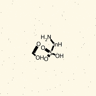 O=CO.[NH2][InH][S](=O)(=O)O